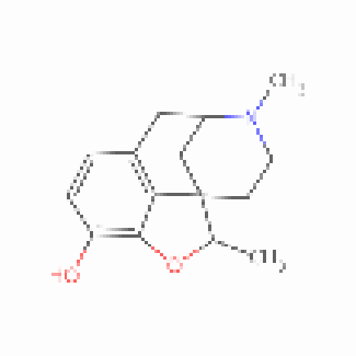 CC1Oc2c(O)ccc3c2C12CCN(C)C(C3)C2